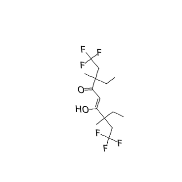 CCC(C)(CC(F)(F)F)C(=O)/C=C(\O)C(C)(CC)CC(F)(F)F